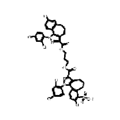 O=C(NCCCNC(=O)c1nn(-c2ccc(Cl)cc2Cl)c2c1CCCc1c-2ccc(Cl)c1S(=O)(=O)O)c1nn(-c2ccc(Cl)cc2Cl)c2c1CCCc1cc(Cl)ccc1-2